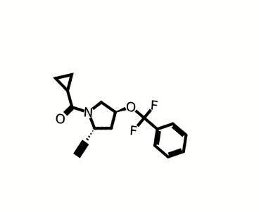 C#C[C@H]1C[C@H](OC(F)(F)c2ccccc2)CN1C(=O)C1CC1